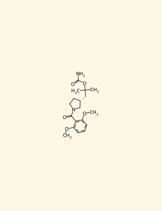 COc1cccc(OC)c1C(=O)N1CC[C@H](CC(C)(C)OC(N)=O)C1